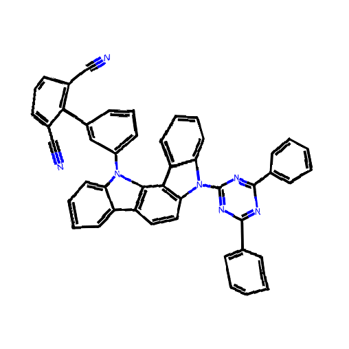 N#Cc1cccc(C#N)c1-c1cccc(-n2c3ccccc3c3ccc4c(c5ccccc5n4-c4nc(-c5ccccc5)nc(-c5ccccc5)n4)c32)c1